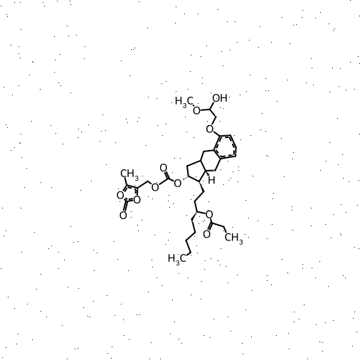 CCCCC[C@@H](CC[C@H]1[C@H](OC(=O)OCc2oc(=O)oc2C)CC2Cc3c(cccc3OCC(O)OC)C[C@@H]21)OC(=O)CC